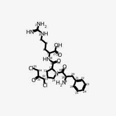 N=C(N)NCCCC(NC(=O)C1CCCN1C(=O)C(N)Cc1ccccc1)C(=O)O.O=C(CCl)CCl